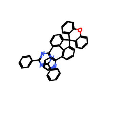 c1ccc(-c2nc(-c3ccccc3)nc(-c3cccc4c3-c3c(-c5ccccn5)cccc3C43c4ccccc4Oc4ccccc43)n2)cc1